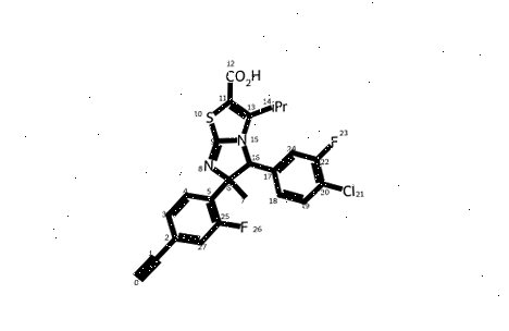 C#Cc1ccc(C2(C)N=C3SC(C(=O)O)=C(C(C)C)N3C2c2ccc(Cl)c(F)c2)c(F)c1